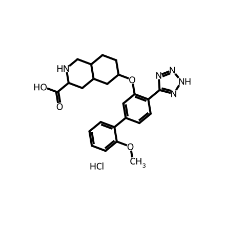 COc1ccccc1-c1ccc(-c2nn[nH]n2)c(OC2CCC3CNC(C(=O)O)CC3C2)c1.Cl